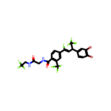 O=C(CNC(=O)c1ccc(C(F)=CC(c2ccc(Br)c(Br)c2)C(F)(F)F)cc1C(F)(F)F)NCC(F)(F)F